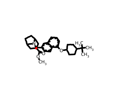 COC(=O)C1CC2CCC(C1)N2Cc1ccc2c(OC3CCC(C(C)(C)C)CC3)cccc2c1